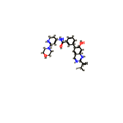 CC(C)[AsH]c1ncc2cc(-c3cccc(C(=O)Nc4ccnc(N5CCOCC5)c4)c3)c(O)cc2n1